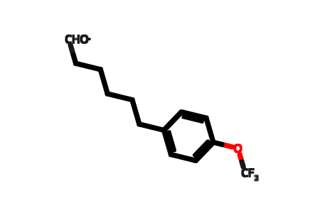 O=[C]CCCCCc1ccc(OC(F)(F)F)cc1